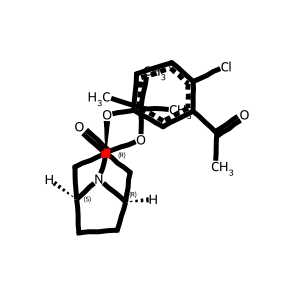 CC(=O)c1cc(O[C@H]2C[C@H]3CC[C@@H](C2)N3C(=O)OC(C)(C)C)ccc1Cl